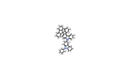 c1ccc(-n2c3ccccc3c3cc(-n4c5ccccc5c5cc(C6(c7ccccc7)c7ccccc7-c7ccccc76)ccc54)ccc32)cc1